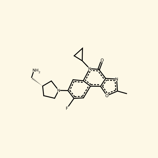 Cc1nc2c(=O)n(C3CC3)c3cc(N4CC[C@H](CN)C4)c(F)cc3c2o1